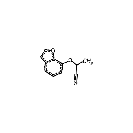 CC(C#N)Oc1cccc2ccoc12